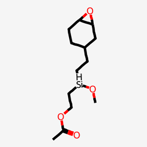 CO[SiH](CCOC(C)=O)CCC1CCC2OC2C1